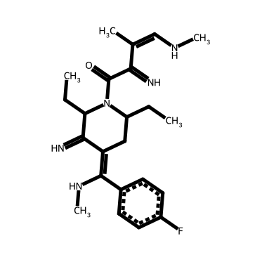 CCC1C/C(=C(/NC)c2ccc(F)cc2)C(=N)C(CC)N1C(=O)C(=N)/C(C)=C\NC